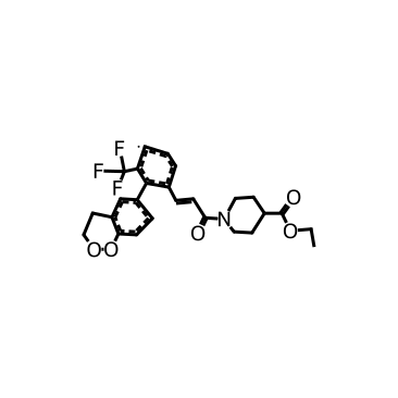 CCOC(=O)C1CCN(C(=O)/C=C/c2cc[c]c(C(F)(F)F)c2-c2ccc3c(c2)CCOO3)CC1